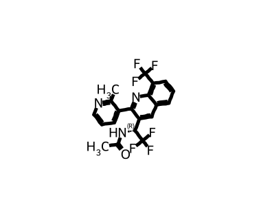 CC(=O)N[C@H](c1cc2cccc(C(F)(F)F)c2nc1-c1cccnc1C)C(F)(F)F